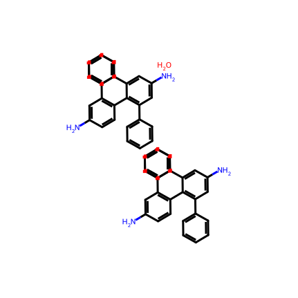 Nc1ccc(-c2c(-c3ccccc3)cc(N)cc2-c2ccccc2)c(-c2ccccc2)c1.Nc1ccc(-c2c(-c3ccccc3)cc(N)cc2-c2ccccc2)c(-c2ccccc2)c1.O